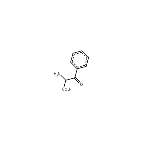 NC(C(=O)O)C(=O)c1ccccc1